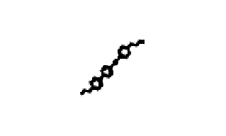 CCCCC1CC=C(C#Cc2ccc(-c3ccc(CCC)cc3)cc2)CC1